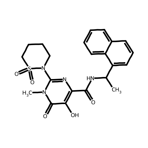 CC(NC(=O)c1nc(N2CCCCS2(=O)=O)n(C)c(=O)c1O)c1cccc2ccccc12